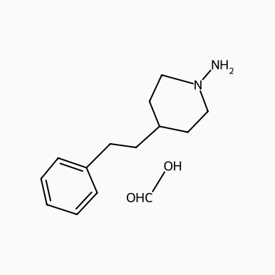 NN1CCC(CCc2ccccc2)CC1.O=CO